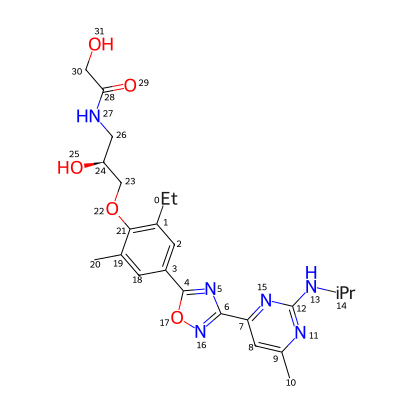 CCc1cc(-c2nc(-c3cc(C)nc(NC(C)C)n3)no2)cc(C)c1OC[C@@H](O)CNC(=O)CO